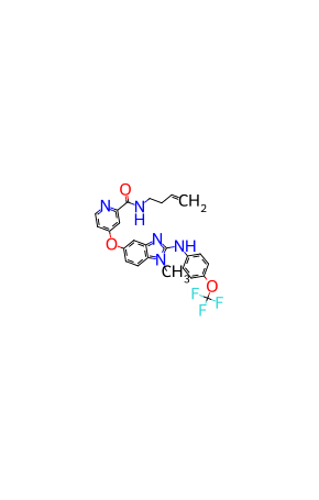 C=CCCNC(=O)c1cc(Oc2ccc3c(c2)nc(Nc2ccc(OC(F)(F)F)cc2)n3C)ccn1